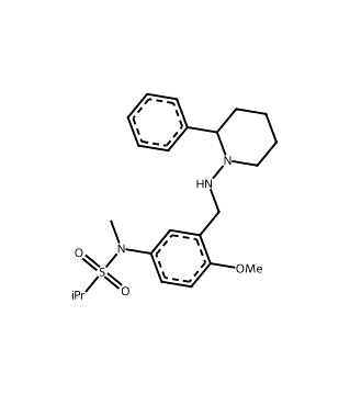 COc1ccc(N(C)S(=O)(=O)C(C)C)cc1CNN1CCCCC1c1ccccc1